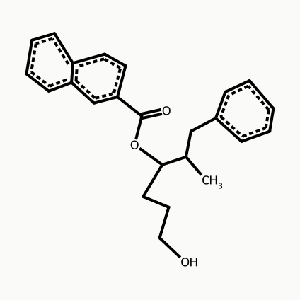 CC(Cc1ccccc1)C(CCCO)OC(=O)c1ccc2ccccc2c1